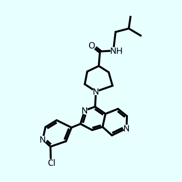 CC(C)CNC(=O)C1CCN(c2nc(-c3ccnc(Cl)c3)cc3cnccc23)CC1